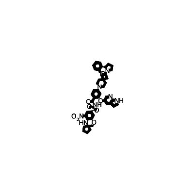 CC(C)c1ccccc1[C@@H]1CCCN1C1CC2(CCN(c3ccc(C(=O)NS(=O)(=O)c4cc5c(c([N+](=O)[O-])c4)NC4(CCCC4)CO5)c(Oc4cnc5[nH]ccc5c4)c3)CC2)C1